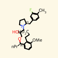 CCC[C@@H](OC[C@H](O)CN1CCC[C@H]1Cc1ccc(C)c(F)c1)c1cccc(OC)c1CCC(=O)O